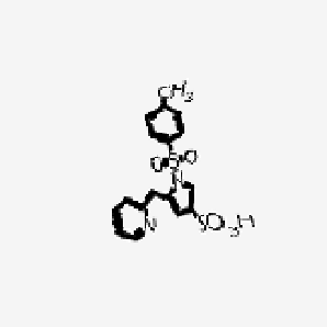 Cc1ccc(S(=O)(=O)n2cc(S(=O)(=O)O)cc2Cc2ccccn2)cc1